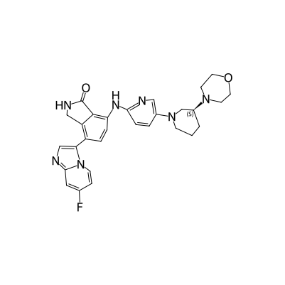 O=C1NCc2c(-c3cnc4cc(F)ccn34)ccc(Nc3ccc(N4CCC[C@H](N5CCOCC5)C4)cn3)c21